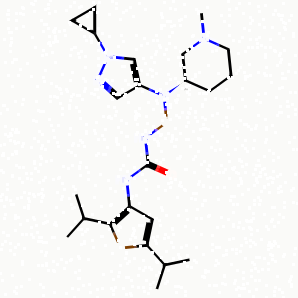 CC(C)c1cc(NC(=O)NSN(c2cnn(C3CC3)c2)[C@@H]2CCCN(C)C2)c(C(C)C)s1